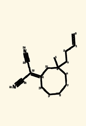 C=CCCC1(C)CCCCCC(=C(C#N)C#N)C1